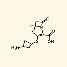 NC1CC(SC2=C(C(=O)O)N3C(=O)C[C@H]3S2)C1